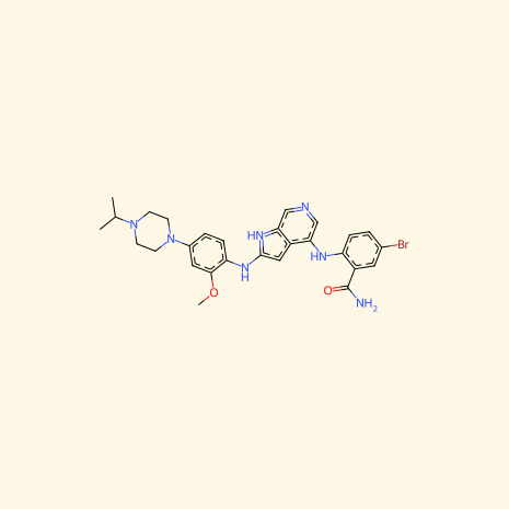 COc1cc(N2CCN(C(C)C)CC2)ccc1Nc1cc2c(Nc3ccc(Br)cc3C(N)=O)cncc2[nH]1